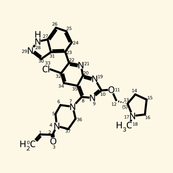 C=CC(=O)N1CCN(c2nc(OC[C@@H]3CCCN3C)nc3nc(-c4cccc5[nH]ncc45)c(Cl)cc23)CC1